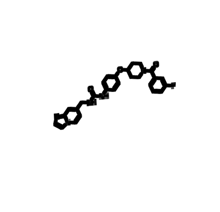 O=C(NCc1ccn2ccnc2c1)Nc1ccc(OC2CCN(C(=O)c3cccc(F)c3)CC2)cc1